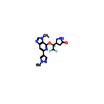 Cn1cnc2cc(-c3cnn(C(C)(C)C)c3)nc(O[C@H](C(F)F)C3CNC(=O)C3)c21